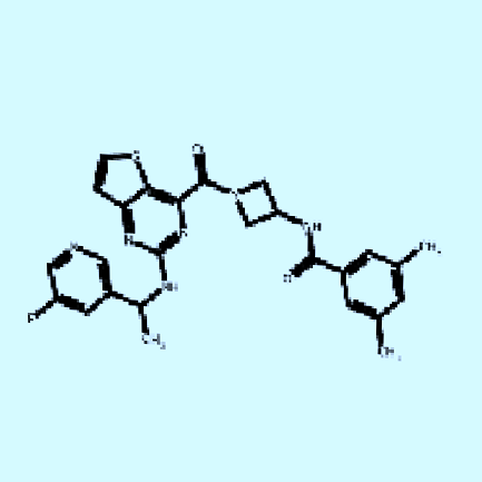 Cc1cc(C)cc(C(=O)NC2CN(C(=O)c3nc(NC(C)c4cncc(F)c4)nc4ccsc34)C2)c1